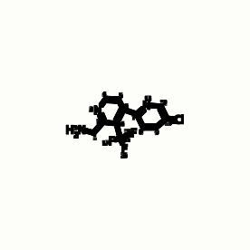 NCc1nccc(-c2ccc(Cl)cn2)c1C(F)(F)F